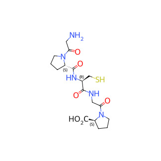 NCC(=O)N1CCC[C@H]1C(=O)N[C@@H](CS)C(=O)NCC(=O)N1CCC[C@H]1C(=O)O